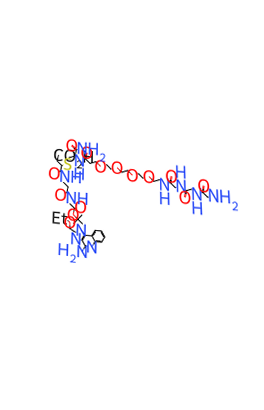 CCOCc1nc2c(N)nc3ccccc3c2n1CC(C)(C)OC(=O)CNC(=O)CCNC(=O)C(CC(=O)O)SCC(NC(=O)CCOCCOCCOCCOCCNC(=O)CNC(=O)CNC(=O)CN)C(N)=O